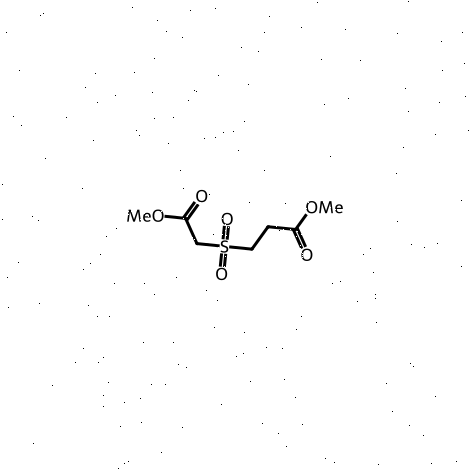 COC(=O)CCS(=O)(=O)CC(=O)OC